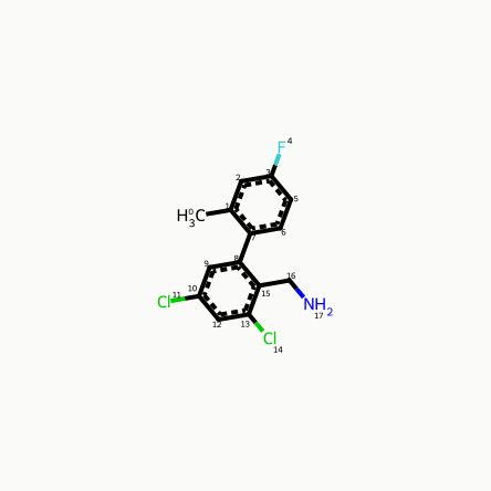 Cc1cc(F)ccc1-c1cc(Cl)cc(Cl)c1CN